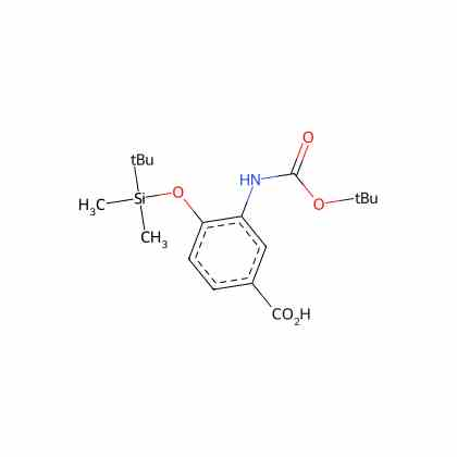 CC(C)(C)OC(=O)Nc1cc(C(=O)O)ccc1O[Si](C)(C)C(C)(C)C